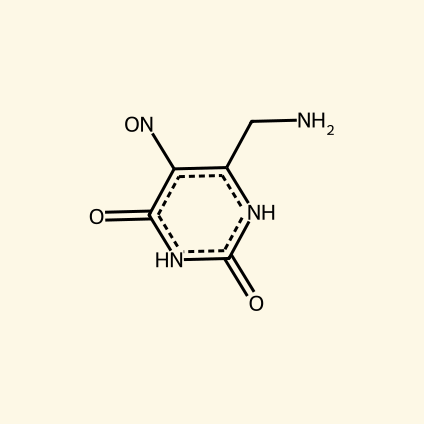 NCc1[nH]c(=O)[nH]c(=O)c1N=O